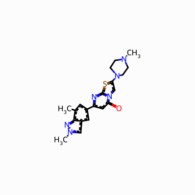 Cc1cc(-c2cc(=O)n3cc(N4CCN(C)CC4)sc3n2)cc2cn(C)nc12